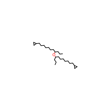 CCCC(CCCCCCCC1CC1)OC(CCC)CCCCCCCC1CC1